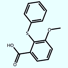 COc1cccc(C(=O)O)c1Sc1ccccc1